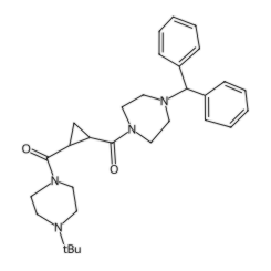 CC(C)(C)N1CCN(C(=O)C2CC2C(=O)N2CCN(C(c3ccccc3)c3ccccc3)CC2)CC1